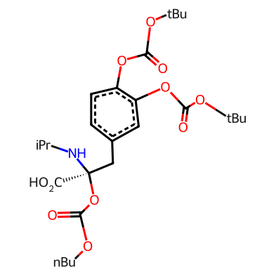 CCCCOC(=O)O[C@](Cc1ccc(OC(=O)OC(C)(C)C)c(OC(=O)OC(C)(C)C)c1)(NC(C)C)C(=O)O